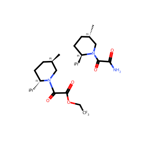 CC(C)[C@@H]1CC[C@@H](C)CN1C(=O)C(=O)OCC(F)(F)F.CC(C)[C@H]1CC[C@H](C)CN1C(=O)C(N)=O